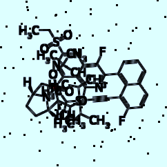 CCS(=O)(=O)c1nc2c3c(nc(-c4cccc5ccc(F)c(C#C[Si](C(C)C)(C(C)C)C(C)C)c45)c(F)c3n1)O[C@@H](C)[C@@H]1[C@@H]3CC[C@H](CN21)N3C(=O)OC(C)(C)C